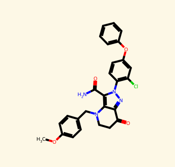 COc1ccc(CN2CCC(=O)c3nn(-c4ccc(Oc5ccccc5)cc4Cl)c(C(N)=O)c32)cc1